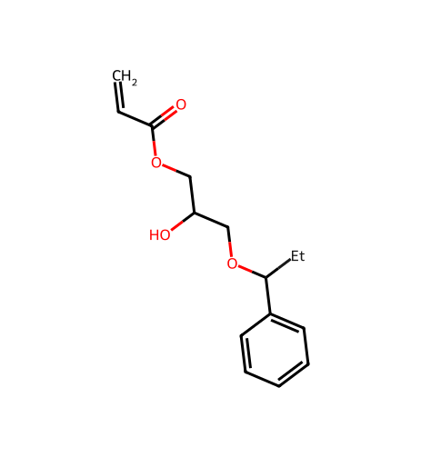 C=CC(=O)OCC(O)COC(CC)c1ccccc1